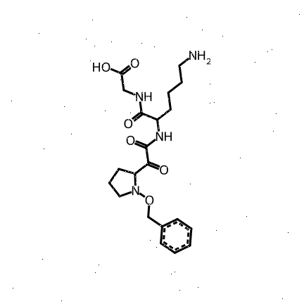 NCCCCC(NC(=O)C(=O)C1CCCN1OCc1ccccc1)C(=O)NCC(=O)O